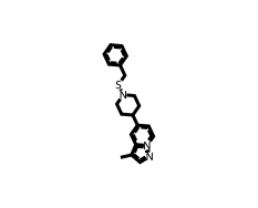 Cc1cnn2ccc(C3CCN(SCc4ccccc4)CC3)cc12